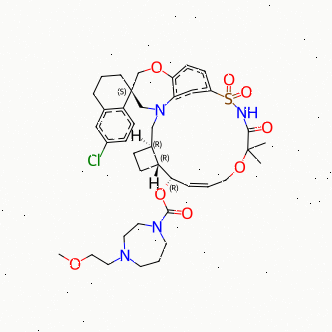 COCCN1CCCN(C(=O)O[C@H]2C=CCOC(C)(C)C(=O)NS(=O)(=O)c3ccc4c(c3)N(C[C@@H]3CC[C@H]32)C[C@@]2(CCCc3cc(Cl)ccc32)CO4)CC1